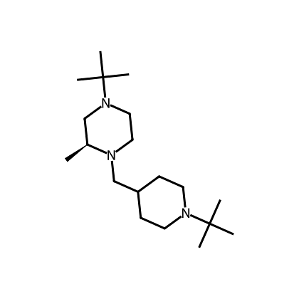 C[C@H]1CN(C(C)(C)C)CCN1CC1CCN(C(C)(C)C)CC1